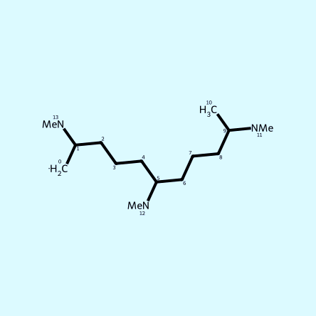 [CH2]C(CCCC(CCCC(C)NC)NC)NC